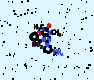 Cn1c(=O)c2c(nc(N3CCCC(N)C3)n2Cc2ccccc2[N+](=O)[O-])n(C)c1=O